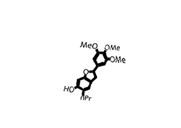 CCCc1cc2c(cc1O)OC(c1cc(OC)c(OC)c(OC)c1)C2